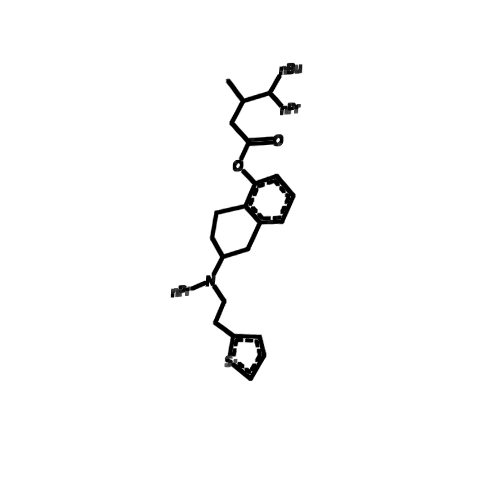 CCCCC(CCC)C(C)CC(=O)Oc1cccc2c1CCC(N(CCC)CCc1cccs1)C2